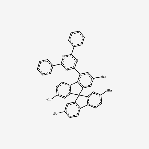 CC(C)(C)c1ccc2c(c1)C1(c3cc(C(C)(C)C)ccc3-2)c2cc(C(C)(C)C)ccc2-c2c(-c3nc(-c4ccccc4)nc(-c4ccccc4)n3)cc(C(C)(C)C)cc21